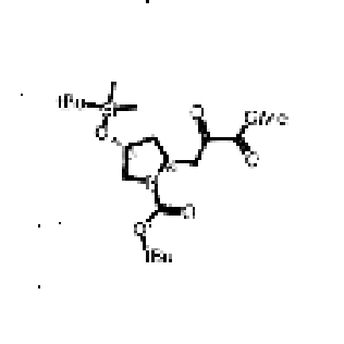 COC(=O)C(=O)C[C@@H]1C[C@@H](O[Si](C)(C)C(C)(C)C)CN1C(=O)OC(C)(C)C